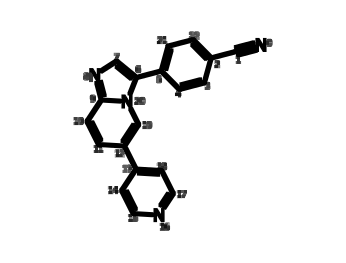 N#Cc1ccc(-c2cnc3ccc(-c4ccncc4)cn23)cc1